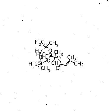 CC(C)=CC(=O)OC(C)(C)[Si](C)(O[Si](C)(C)C)O[Si](C)(C)C